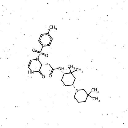 Cc1ccc(S(=O)(=O)N2C=CNC(=O)[C@H]2CC(=O)N[C@H]2CC[C@@H](N3CCCC(C)(C)C3)CC2(C)C)cc1